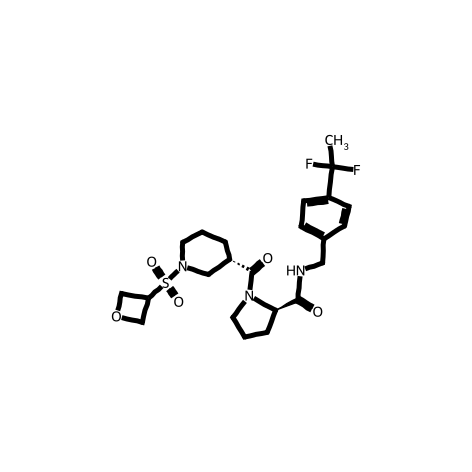 CC(F)(F)c1ccc(CNC(=O)[C@H]2CCCN2C(=O)[C@H]2CCCN(S(=O)(=O)C3COC3)C2)cc1